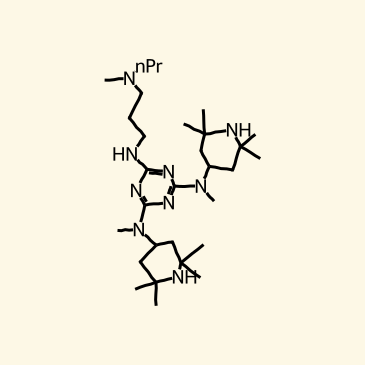 CCCN(C)CCCNc1nc(N(C)C2CC(C)(C)NC(C)(C)C2)nc(N(C)C2CC(C)(C)NC(C)(C)C2)n1